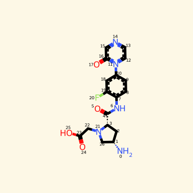 N[C@H]1C[C@@H](C(=O)Nc2ccc(-n3ccncc3=O)cc2F)N(CC(=O)O)C1